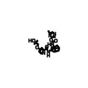 Cc1cncc(OC(=O)NC23CC4CC(C2)CC(NC(=O)c2cc(OCC(C)(C)O)ccn2)(C4)C3)n1